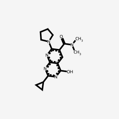 CN(C)C(=O)c1cc2c(O)nc(C3CC3)nc2nc1N1CCCC1